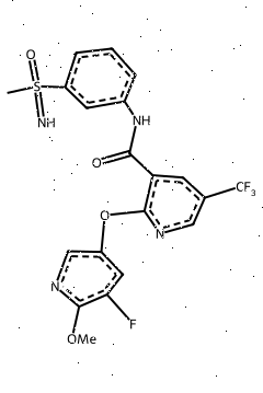 COc1ncc(Oc2ncc(C(F)(F)F)cc2C(=O)Nc2cccc(S(C)(=N)=O)c2)cc1F